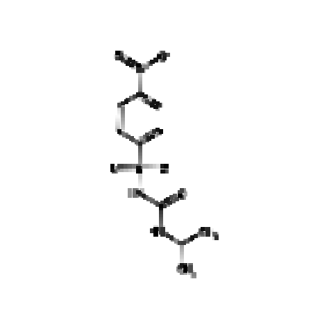 CC(C)NC(=O)NS(=O)(=O)c1ccc([N+](=O)[O-])cc1